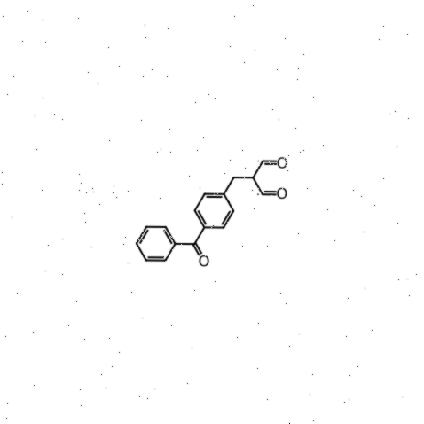 O=[C]C([C]=O)Cc1ccc(C(=O)c2ccccc2)cc1